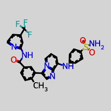 Cc1ccc(C(=O)Nc2cc(C(F)(F)F)ccn2)cc1-c1cnc2c(Nc3ccc(S(N)(=O)=O)cc3)cccn12